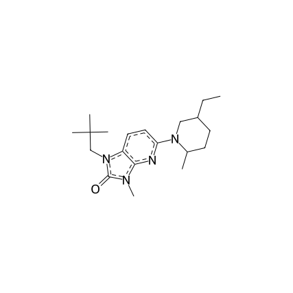 CCC1CCC(C)N(c2ccc3c(n2)n(C)c(=O)n3CC(C)(C)C)C1